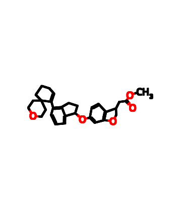 COC(=O)CC1COc2cc(O[C@@H]3CCc4c(C5=CCCCC56CCOCC6)cccc43)ccc21